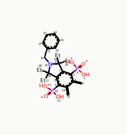 C=c1c(P(=O)(O)O)c2c(c(P(=O)(O)O)c1=C)C(CC)(CC)N(Cc1ccccc1)C2(CC)CC